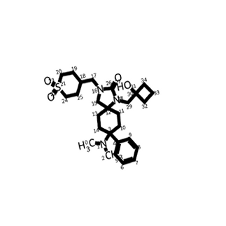 CN(C)C1(c2ccccc2)CCC2(CC1)CN(CC1CCS(=O)(=O)CC1)C(=O)N2CC1(O)CCC1